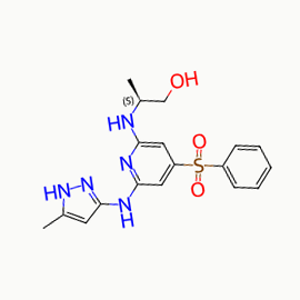 Cc1cc(Nc2cc(S(=O)(=O)c3ccccc3)cc(N[C@@H](C)CO)n2)n[nH]1